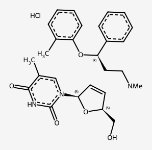 CNCC[C@@H](Oc1ccccc1C)c1ccccc1.Cc1cn([C@H]2C=C[C@@H](CO)O2)c(=O)[nH]c1=O.Cl